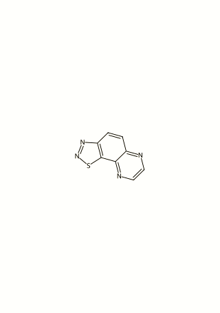 c1cnc2c(ccc3nnsc32)n1